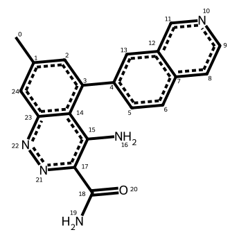 Cc1cc(-c2ccc3ccncc3c2)c2c(N)c(C(N)=O)nnc2c1